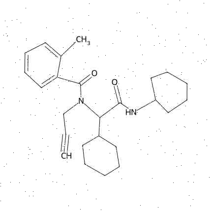 C#CCN(C(=O)c1ccccc1C)C(C(=O)NC1CCCCC1)C1CCCCC1